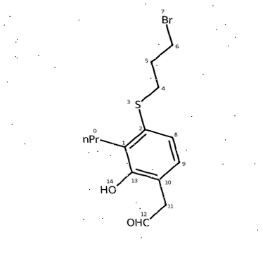 CCCc1c(SCCCBr)ccc(CC=O)c1O